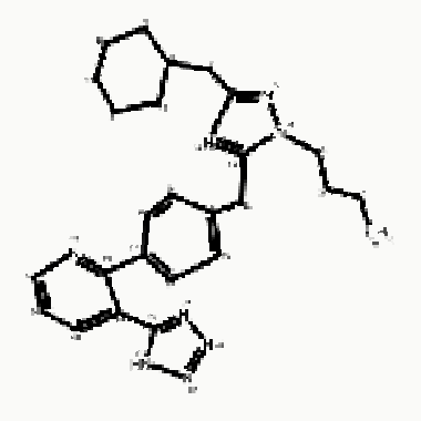 CCCCn1nc(CC2CCCCC2)nc1Cc1ccc(-c2ncccc2-c2nnn[nH]2)cc1